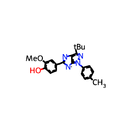 COc1cc(C2=Nc3c(C(C)(C)C)nn(-c4ccc(C)cc4)c3[N]2)ccc1O